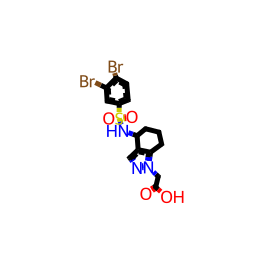 O=C(O)Cn1ncc2c1CCCC2NS(=O)(=O)c1ccc(Br)c(Br)c1